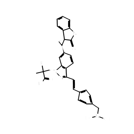 CN(C)Cc1ccc(/C=C/c2n[nH]c3cc([C@H]4C[C@]45C(=O)Nc4ccccc45)ccc23)cc1.O=C(O)C(F)(F)F